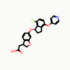 O=C(O)CC1COc2cc(O[C@@H]3CCc4c(Oc5ccncc5)ccc(F)c43)ccc21